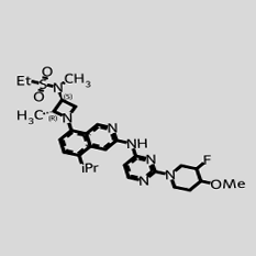 CCS(=O)(=O)N(C)[C@H]1CN(c2ccc(C(C)C)c3cc(Nc4ccnc(N5CCC(OC)C(F)C5)n4)ncc23)[C@@H]1C